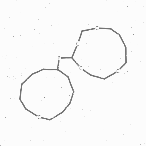 C1CCCCCC([P]C2CCCCCCCCCCC2)CCCCC1